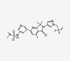 Cc1cc(-c2cncc(NS(=O)(=O)N(C)C)c2)nc2c1C(=O)N(c1cnn(CC(F)(F)F)c1)C2(C)C